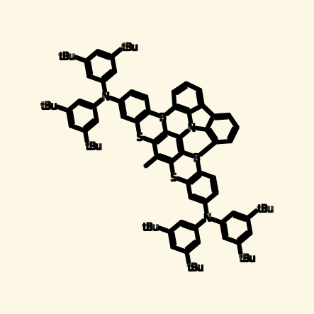 Cc1c2c3c4c5c1Sc1cc(N(c6cc(C(C)(C)C)cc(C(C)(C)C)c6)c6cc(C(C)(C)C)cc(C(C)(C)C)c6)ccc1B5c1cccc5c6cccc(c6n-4c15)B3c1ccc(N(c3cc(C(C)(C)C)cc(C(C)(C)C)c3)c3cc(C(C)(C)C)cc(C(C)(C)C)c3)cc1S2